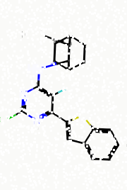 O=C(O)C1C2CCC(CC2)C1Nc1nc(Cl)nc(-c2cc3ccccc3s2)c1F